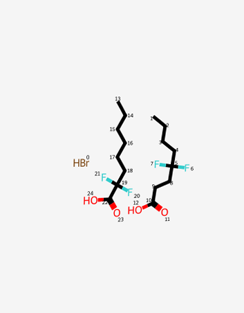 Br.CCCCC(F)(F)CCC(=O)O.CCCCCCC(F)(F)C(=O)O